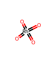 [O]=[Rh](=[O])(=[O])=[O]